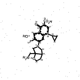 Cl.NCC12CN(c3cc4c(cc3F)c(=O)c(C(=O)O)cn4C3CC3)CC1CCO2